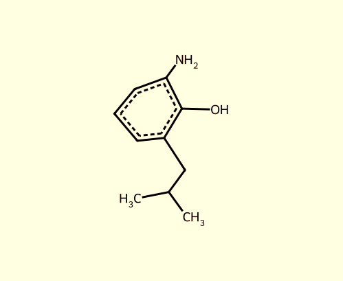 CC(C)Cc1cccc(N)c1O